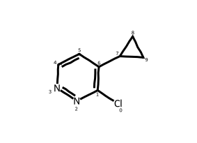 Clc1nn[c]cc1C1CC1